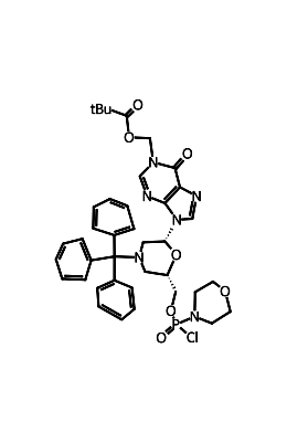 CC(C)(C)C(=O)OCn1cnc2c(ncn2[C@H]2CN(C(c3ccccc3)(c3ccccc3)c3ccccc3)C[C@@H](COP(=O)(Cl)N3CCOCC3)O2)c1=O